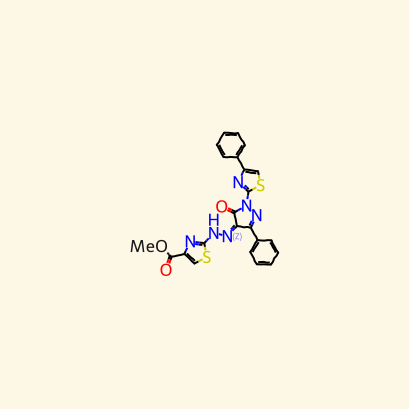 COC(=O)c1csc(N/N=C2\C(=O)N(c3nc(-c4ccccc4)cs3)N=C2c2ccccc2)n1